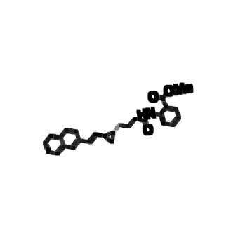 COC(=O)c1ccccc1NC(=O)CCC[C@@H]1C[C@H]1/C=C/c1ccc2ccccc2c1